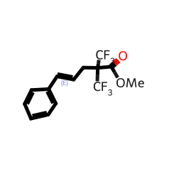 COC(=O)C(C/C=C/c1ccccc1)(C(F)(F)F)C(F)(F)F